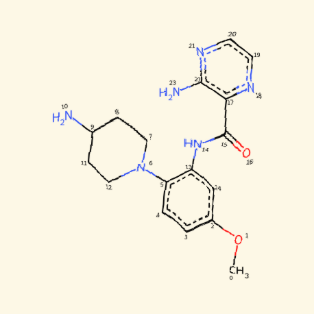 COc1ccc(N2CCC(N)CC2)c(NC(=O)c2nccnc2N)c1